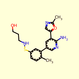 Cc1ncc(-c2cc(-c3cc(SNCCCO)ccc3C)cnc2N)o1